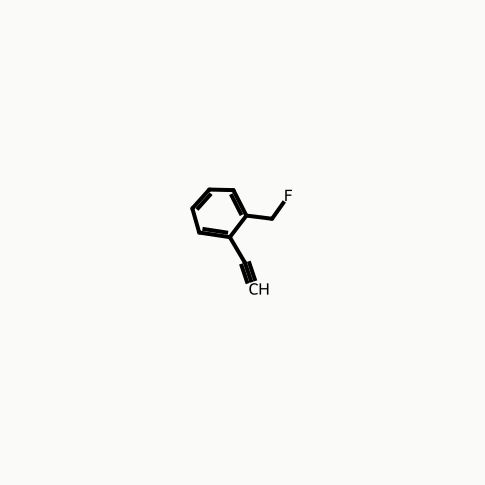 C#Cc1ccccc1CF